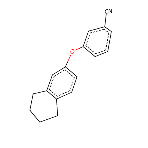 N#Cc1cccc(Oc2ccc3c(c2)CCCC3)c1